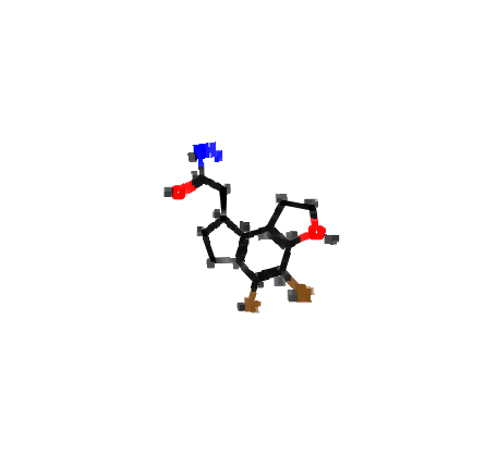 NC(=O)C[C@@H]1CCc2c(Br)c(Br)c3c(c21)CCO3